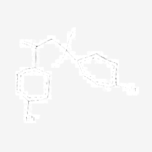 C=C(CC(C)(C)c1ccc(C(C)C)cc1)c1ccc(C(C)C)cc1